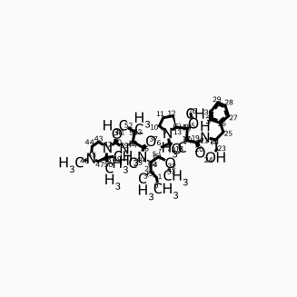 CC[C@H](C)[C@@H]([C@H](CC(=O)N1CCC[C@H]1[C@H](OC)[C@@H](C)C(=O)N[C@H](CO)Cc1ccccc1)OC)N(C)C(=O)[C@@H](NC(=O)N1CCN(C)CC1(C)C)C(C)C